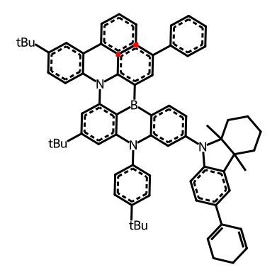 CC(C)(C)c1ccc(N2c3cc(N4c5ccc(C6=CCCC=C6)cc5C5(C)CCCCC45C)ccc3B3c4cc(-c5ccccc5)ccc4N(c4ccc(C(C)(C)C)cc4-c4ccccc4)c4cc(C(C)(C)C)cc2c43)cc1